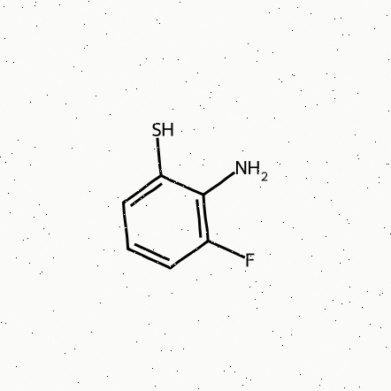 Nc1c(F)cccc1S